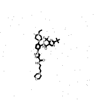 CCN1CCN(c2ccc(-n3cc(C(=O)NCCCN4CCOCC4)nn3)cc2NC(=O)c2cnc(C(C)(C)C)nc2C(F)(F)F)C[C@@H]1C